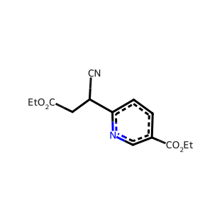 CCOC(=O)CC(C#N)c1ccc(C(=O)OCC)cn1